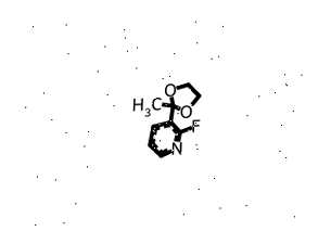 CC1(c2cccnc2F)OCCO1